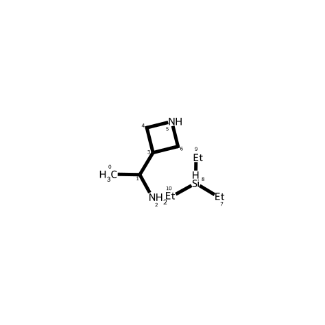 CC(N)C1CNC1.CC[SiH](CC)CC